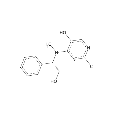 CN(c1nc(Cl)ncc1O)[C@H](CO)c1ccccc1